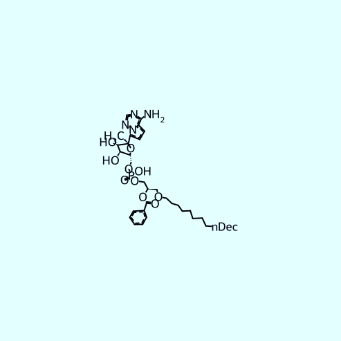 CCCCCCCCCCCCCCCCCCOC[C@H](COP(=O)(O)OC[C@H]1O[C@@](C)(c2ccc3c(N)ncnn23)[C@H](O)[C@@H]1O)OC(=O)c1ccccc1